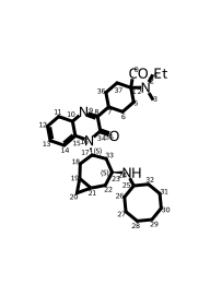 CCOC(=O)C1(N(C)C)CCC(C2=NC3CC=CC=C3N([C@H]3CC4CC4C[C@H](NC4CCCCCCC4)C3)C2=O)CC1